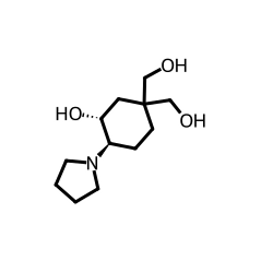 OCC1(CO)CC[C@@H](N2CCCC2)[C@H](O)C1